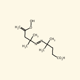 C=C(CC(C)(C)N=NC(C)(C)CCC(=O)O)OO